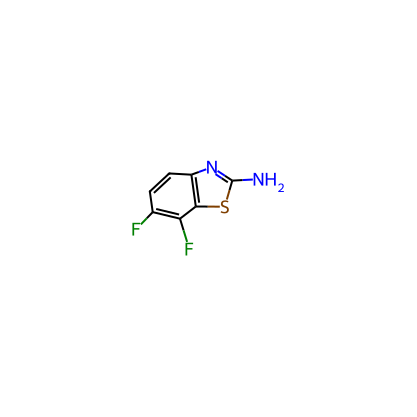 Nc1nc2ccc(F)c(F)c2s1